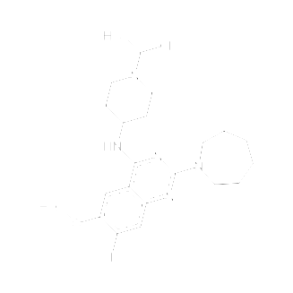 COc1cc2c(NC3CCN(C(C)C)CC3)nc(N3CCCCCC3)nc2cc1I